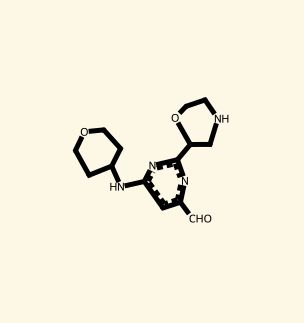 O=Cc1cc(NC2CCOCC2)nc(C2CNCCO2)n1